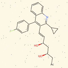 CC(=O)C[C@@H](O)C[C@@H](O)/C=C/c1c(C2CC2)nc2ccccc2c1-c1ccc(F)cc1